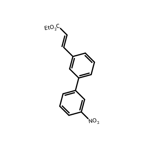 CCOC(=O)C=Cc1cccc(-c2cccc([N+](=O)[O-])c2)c1